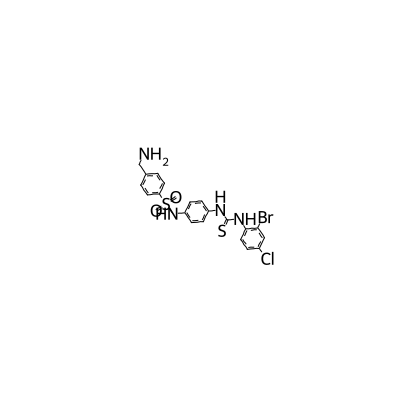 NCc1ccc(S(=O)(=O)Nc2ccc(NC(=S)Nc3ccc(Cl)cc3Br)cc2)cc1